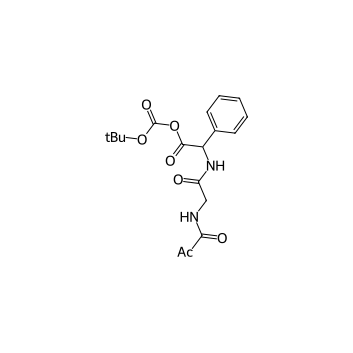 CC(=O)C(=O)NCC(=O)NC(C(=O)OC(=O)OC(C)(C)C)c1ccccc1